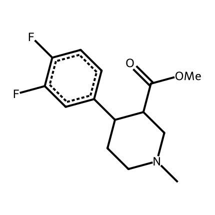 COC(=O)C1CN(C)CCC1c1ccc(F)c(F)c1